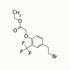 CCOC(=O)COc1ccc(CCBr)cc1C(F)(F)F